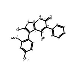 COc1cc(C)ccc1-c1c(Cl)sc2[nH]c(=O)c(-c3ccccc3)c(O)c12